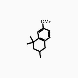 COc1ccc2c(c1)C(C)(C)CC(C)C2